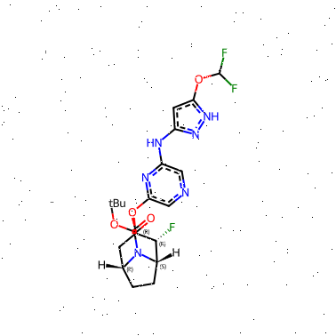 CC(C)(C)OC(=O)N1[C@@H]2CC[C@H]1[C@@H](F)[C@H](Oc1cncc(Nc3cc(OC(F)F)[nH]n3)n1)C2